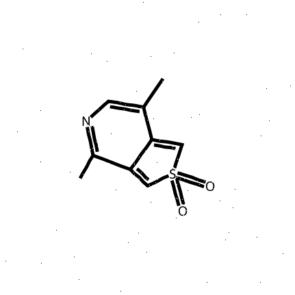 Cc1cnc(C)c2c1=CS(=O)(=O)C=2